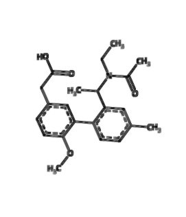 CCN(C(C)=O)C(C)c1cc(C)ccc1-c1cc(CC(=O)O)ccc1OC